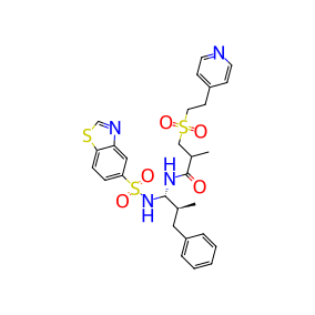 CC(CS(=O)(=O)CCc1ccncc1)C(=O)N[C@@H](NS(=O)(=O)c1ccc2scnc2c1)[C@@H](C)Cc1ccccc1